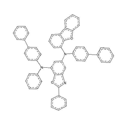 c1ccc(-c2ccc(N(c3ccccc3)c3cc(N(c4ccc(-c5ccccc5)cc4)c4cccc5c4oc4ccccc45)cc4nc(-c5ccccc5)oc34)cc2)cc1